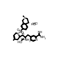 CC1=CCN(S(=O)(=O)c2ccc3c(c2)CN(C)CC3)[C@@](C(=O)O)(C(=O)C(N)Cc2ccnc(C(=N)N)c2)C1.Cl.Cl